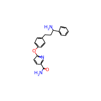 NC(=O)c1ccc(Oc2ccc(CCC(N)c3ccccc3)cc2)nc1